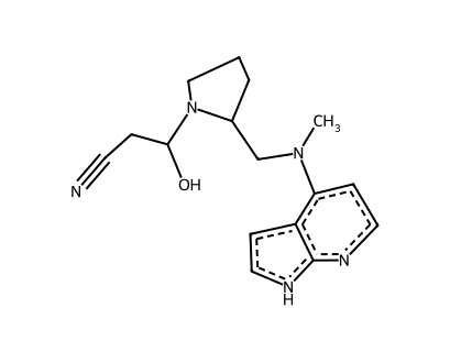 CN(CC1CCCN1C(O)CC#N)c1ccnc2[nH]ccc12